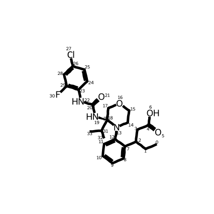 CCC(CC(=O)O)c1ccccc1N1CCOC[C@@]1(NC(=O)Nc1ccc(Cl)cc1F)C(C)C